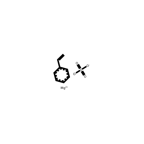 C=Cc1ccccc1.O=S(=O)([O-])[O-].[Mg+2]